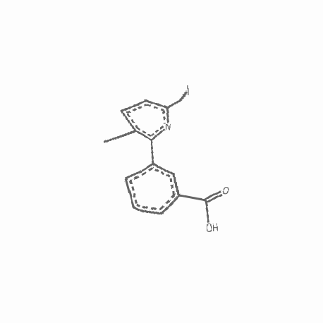 Cc1ccc(I)nc1-c1cccc(C(=O)O)c1